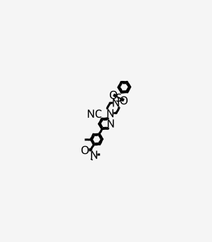 Cc1cc(-c2cnc(N3CCN(S(=O)(=O)c4ccccc4)CC3)c(C#N)c2)ccc1C(=O)N(C)C